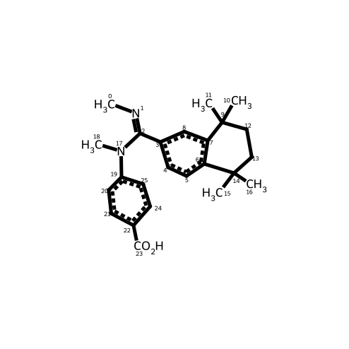 CN=C(c1ccc2c(c1)C(C)(C)CCC2(C)C)N(C)c1ccc(C(=O)O)cc1